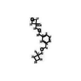 CC1(COCc2cccc(COCC3(C)COC3)c2)CCC1